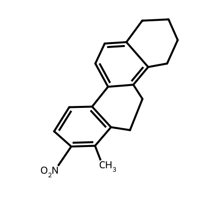 Cc1c([N+](=O)[O-])ccc2c1CCc1c-2ccc2c1CCCC2